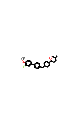 CC1CCC(C2CCC(Cc3ccc(-c4ccc(OC(F)(F)F)c(F)c4)cc3)CC2)OC1